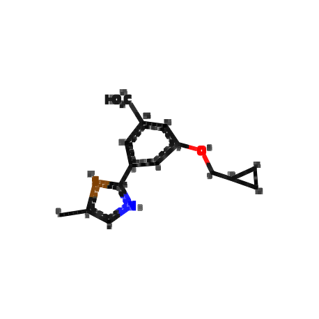 Cc1cnc(-c2cc(OCC3CC3)cc(C(=O)O)c2)s1